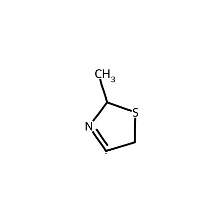 CC1N=[C]CS1